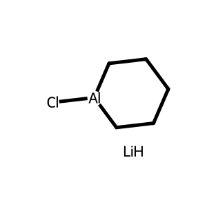 [Cl][Al]1[CH2]CCC[CH2]1.[LiH]